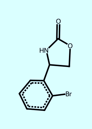 O=C1NC(c2ccccc2Br)CO1